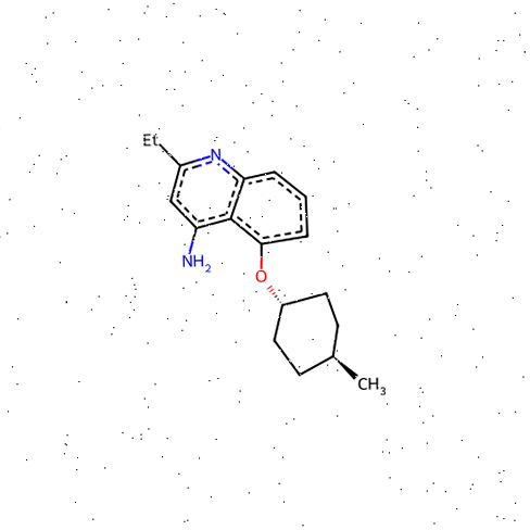 CCc1cc(N)c2c(O[C@H]3CC[C@H](C)CC3)cccc2n1